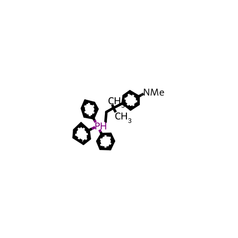 CNc1ccc(C(C)(C)CC[PH](c2ccccc2)(c2ccccc2)c2ccccc2)cc1